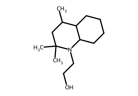 CC1CC(C)(C)N(CCO)C2CCCCC12